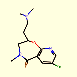 CN(C)CCC1CN(C)C(=S)c2cc(Br)cnc2O1